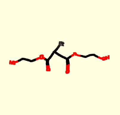 CCC(C(=O)OCCO)C(=O)OCCO